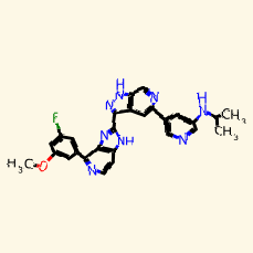 COc1cc(F)cc(-c2nccc3[nH]c(-c4n[nH]c5cnc(-c6cncc(NC(C)C)c6)cc45)nc23)c1